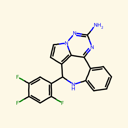 Nc1nc2c3c(ccn3n1)C(c1cc(F)c(F)cc1F)Nc1ccccc1-2